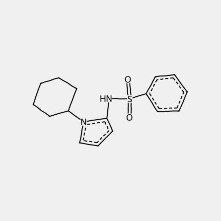 O=S(=O)(Nc1cccn1C1CCCCC1)c1ccccc1